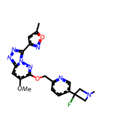 COc1cc2nnc(-c3cc(C)on3)n2nc1OCc1ccc(C2(F)CN(C)C2)cn1